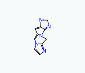 C1=Nc2cc3n(c2=N1)Cc1nccn1C=3